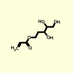 C=CC(=O)OCCC(O)C(O)CO